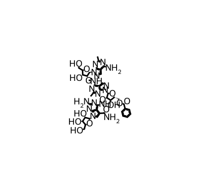 Cc1nc(NO[C@@H]2[C@H](O)C(CO)O[C@H]2n2ncc3c(N)nc(C)nc32)c2cnn([C@@H]3O[C@H](COC(=O)c4ccccc4)[C@@H](O)[C@H]3ONc3nc(N)nc4c3c(C(N)=O)cn4[C@@H]3OC(CO)[C@@H](O)[C@H]3O)c2n1